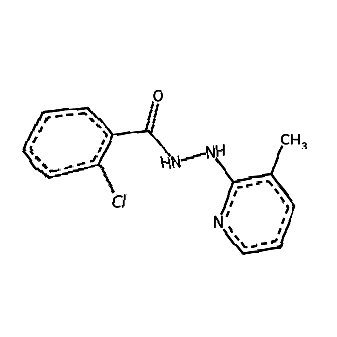 Cc1cccnc1NNC(=O)c1ccccc1Cl